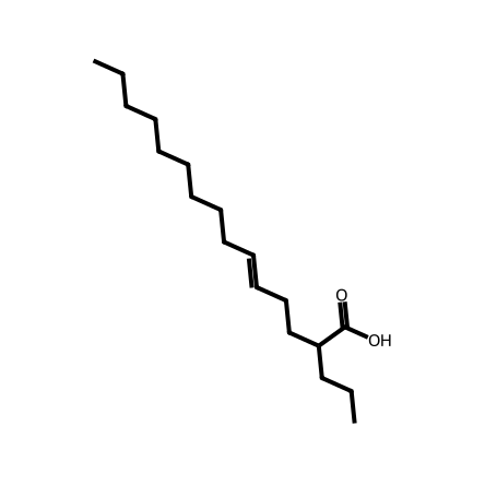 CCCCCCCCCC=CCCC(CCC)C(=O)O